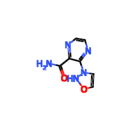 NC(=O)c1nccnc1N1C=CON1